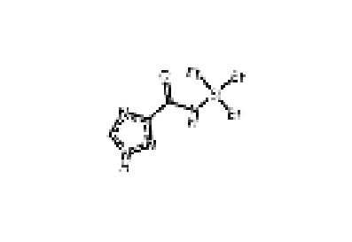 CC[Si](CC)(CC)NC(=O)c1nc[nH]n1